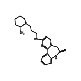 CC1CCCCN1CCCNc1ncc2c(n1)-c1ccccc1NC(=O)C2